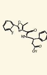 Cc1oc(-c2ccccc2F)nc1C(=O)NC(CC(=O)O)c1ccccc1